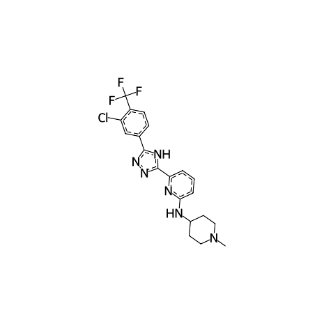 CN1CCC(Nc2cccc(-c3nnc(-c4ccc(C(F)(F)F)c(Cl)c4)[nH]3)n2)CC1